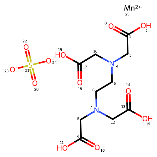 O=C(O)CN(CCN(CC(=O)O)CC(=O)O)CC(=O)O.O=S(=O)([O-])[O-].[Mn+2]